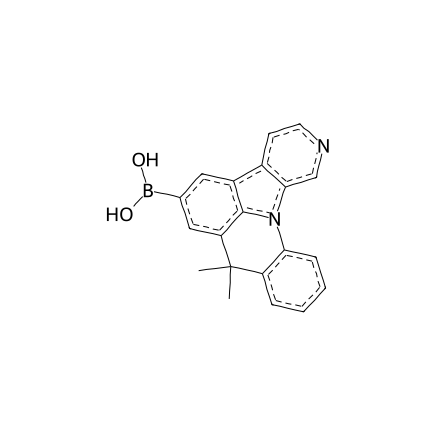 CC1(C)c2ccccc2-n2c3cnccc3c3cc(B(O)O)cc1c32